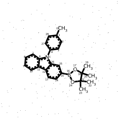 Cc1ccc(-n2c3ccccc3c3ccc(B4OC(C)(C)C(C)(C)O4)cc32)cc1